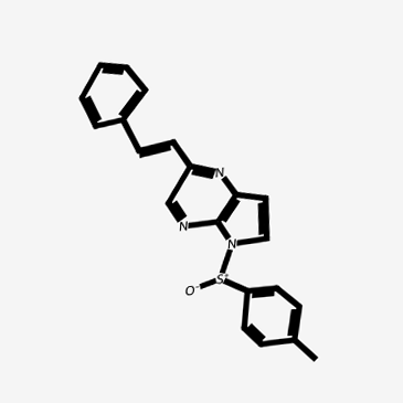 Cc1ccc([S+]([O-])n2ccc3nc(/C=C/c4ccccc4)cnc32)cc1